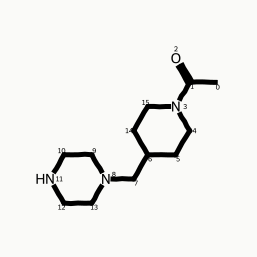 CC(=O)N1CCC(CN2CCNCC2)CC1